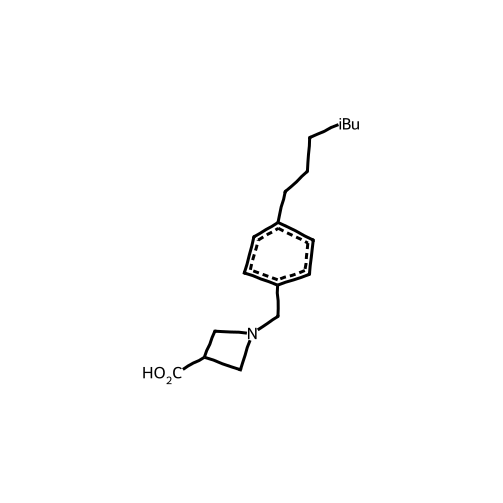 CCC(C)CCCc1ccc(CN2CC(C(=O)O)C2)cc1